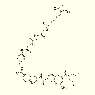 CCCN(CCC)C(=O)C1=Cc2ccc(C(=O)Nc3cnc4c(c3)CN(C(=O)OCc3ccc(NC(=O)CNC(=O)CNC(=O)CNC(=O)CCCCCN5C(=O)C=CC5=O)cc3)CC4)cc2N=C(N)C1